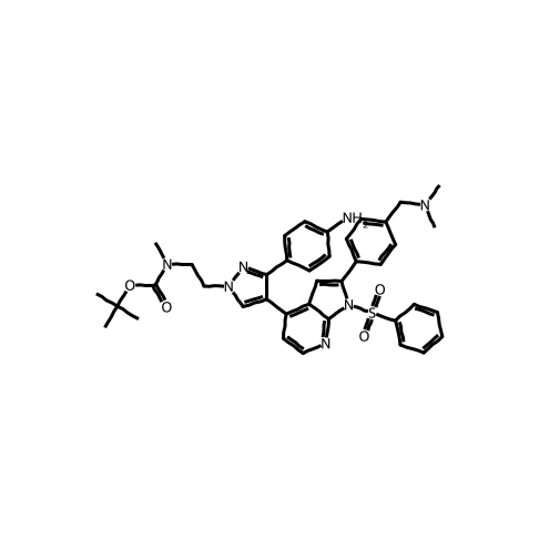 CN(C)Cc1ccc(-c2cc3c(-c4cn(CCN(C)C(=O)OC(C)(C)C)nc4-c4ccc(N)cc4)ccnc3n2S(=O)(=O)c2ccccc2)cc1